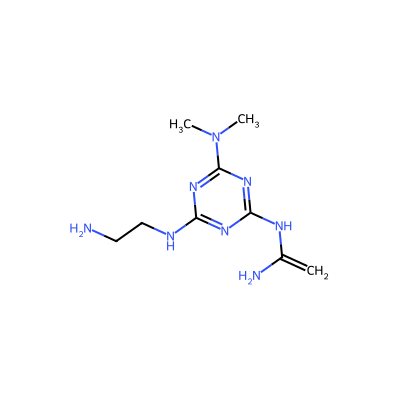 C=C(N)Nc1nc(NCCN)nc(N(C)C)n1